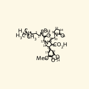 CCCCN(CCCC[N+](C)(C)C)C(=O)CN1CC(c2cc(OC)c3c(c2)OCO3)C(C(=O)O)C1CCN1CCCC1=O